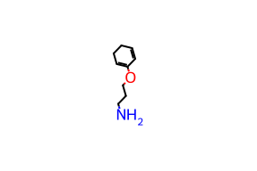 NCCCOC1=CCCC=C1